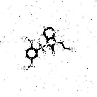 COc1ccc(OC)c(S(=O)(=O)n2c(=O)n(CCN)c3ncccc32)c1